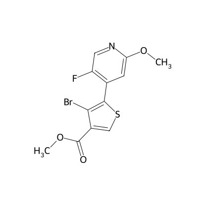 COC(=O)c1csc(-c2cc(OC)ncc2F)c1Br